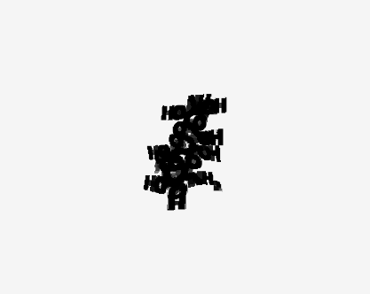 NC1C(O)[C@H](O)C(CO)O[C@H]1O[C@H]1C(O)C[C@H](O[C@@H]2C(CO)O[C@@H](O)C(N)C2O)OC1CO